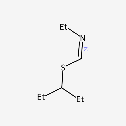 CC/N=C\SC(CC)CC